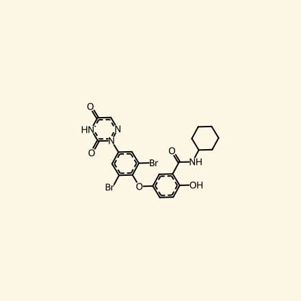 O=C(NC1CCCCC1)c1cc(Oc2c(Br)cc(-n3ncc(=O)[nH]c3=O)cc2Br)ccc1O